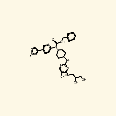 Cn1cc(-c2ccc(N(C(=O)NCc3ccccc3)[C@H]3CC[C@H](Nc4ncc(C#N)c(NCC(O)CO)n4)CC3)nc2)cn1